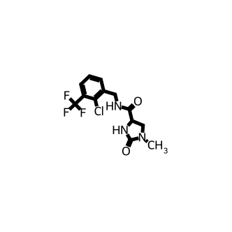 CN1CC(C(=O)NCc2cccc(C(F)(F)F)c2Cl)NC1=O